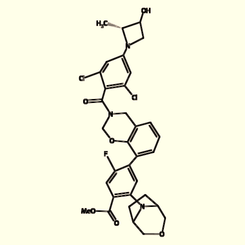 COC(=O)c1cc(F)c(-c2cccc3c2OCN(C(=O)c2c(Cl)cc(N4CC(O)[C@H]4C)cc2Cl)C3)cc1N1C2CCC1COC2